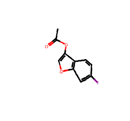 CC(=O)Oc1coc2cc(I)ccc12